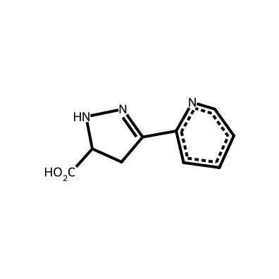 O=C(O)C1CC(c2ccccn2)=NN1